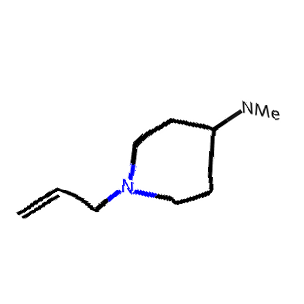 C=CCN1CCC(NC)CC1